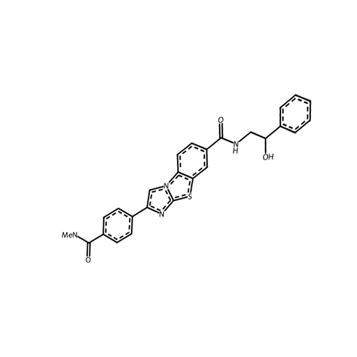 CNC(=O)c1ccc(-c2cn3c(n2)sc2cc(C(=O)NCC(O)c4ccccc4)ccc23)cc1